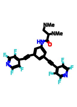 CNCC(NC)C(=O)Nc1cc(C#Cc2c(F)c(F)nc(F)c2F)cc(C#Cc2c(F)c(F)nc(F)c2F)c1